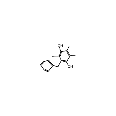 Cc1c(C)c(O)c(Cc2ccccc2)c(C)c1O